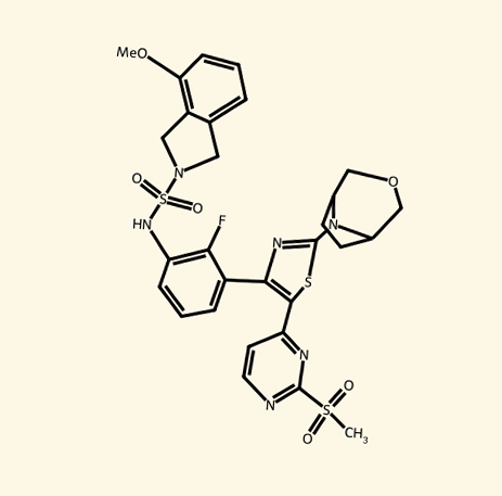 COc1cccc2c1CN(S(=O)(=O)Nc1cccc(-c3nc(N4C5CCC4COC5)sc3-c3ccnc(S(C)(=O)=O)n3)c1F)C2